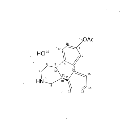 CC(=O)Oc1ccc([C@H]2CCNC[C@@H]2c2ccccc2)cc1.Cl